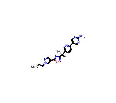 CSCCn1cc(-c2nc([C@@](C)(c3ccc(-c4cnc(N)nc4)nc3)C(C)C)no2)cn1